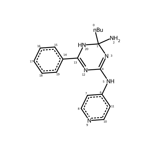 CCCCC1(N)N=C(Nc2ccncc2)N=C(c2ccccc2)N1